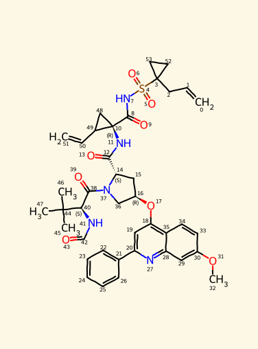 C=CCC1(S(=O)(=O)NC(=O)[C@@]2(NC(=O)[C@@H]3C[C@@H](Oc4cc(-c5ccccc5)nc5cc(OC)ccc45)CN3C(=O)[C@@H](NC=O)C(C)(C)C)CC2C=C)CC1